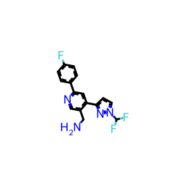 NCc1cnc(-c2ccc(F)cc2)cc1-c1ccn(C(F)F)n1